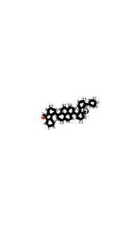 CC1(C)c2ccccc2-c2c(-c3ccc4ccc5c(-c6cccc7oc8c(-c9ccccc9)cccc8c67)ccc6ccc3c4c65)cccc21